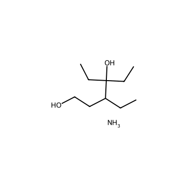 CCC(CCO)C(O)(CC)CC.N